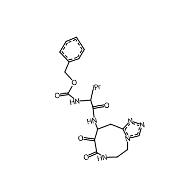 CC(C)C(NC(=O)OCc1ccccc1)C(=O)NC1Cc2nncn2CCNC(=O)C1=O